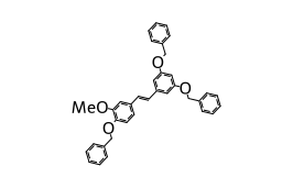 COc1cc(/C=C/c2cc(OCc3ccccc3)cc(OCc3ccccc3)c2)ccc1OCc1ccccc1